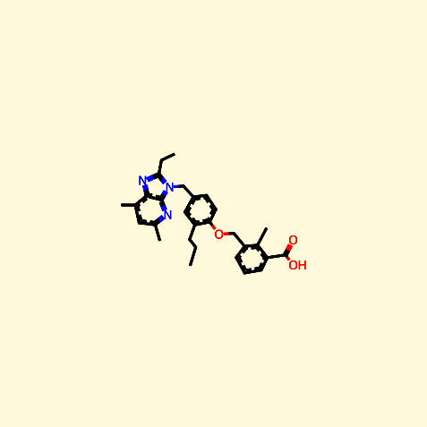 CCCc1cc(Cn2c(CC)nc3c(C)cc(C)nc32)ccc1OCc1cccc(C(=O)O)c1C